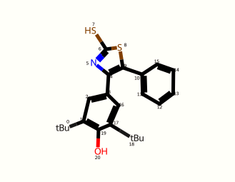 CC(C)(C)c1cc(-c2nc(S)sc2-c2ccccc2)cc(C(C)(C)C)c1O